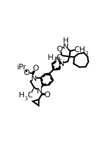 CC(C)OC(=O)N1C[C@H](C)N(C(=O)C2CC2)c2ccc(-c3cnn(CC4(C5CCCCCCC5)C(C)NOC4C)c3)cc21